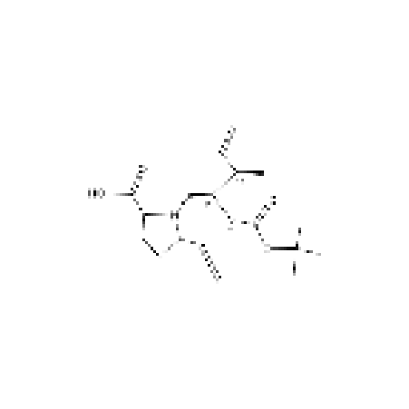 C=CC1CCC(C(=O)O)N1C[C@H](NC(=O)OC(C)(C)C)[C@H](C)C=C